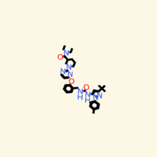 CCN(CC)C(=O)C1CCCN(c2nccc(Oc3ccccc3CNC(=O)Nc3cc(C(C)(C)C)nn3-c3ccc(C)cc3)n2)C1